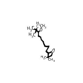 COC(CCCCCCCC1OCC1(C)C)C(C)(C)C